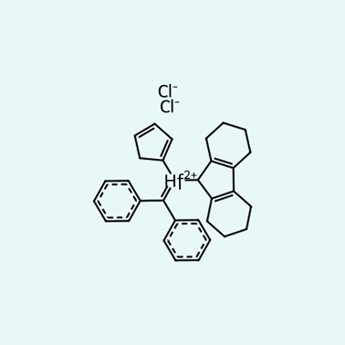 C1=CC[C]([Hf+2](=[C](c2ccccc2)c2ccccc2)[CH]2C3=C(CCCC3)C3=C2CCCC3)=C1.[Cl-].[Cl-]